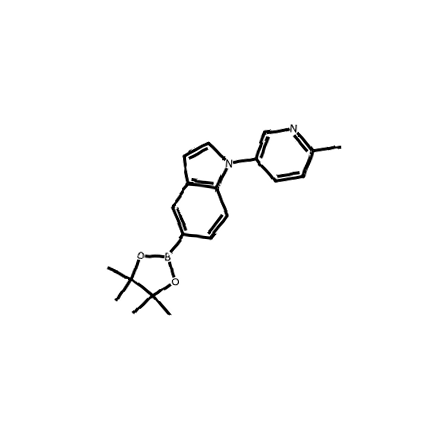 Cc1ccc(-n2ccc3cc(B4OC(C)(C)C(C)(C)O4)ccc32)cn1